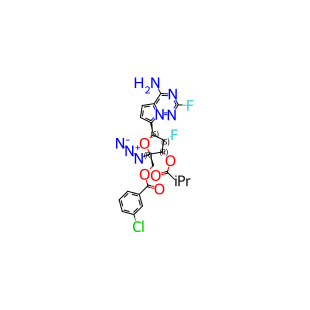 CC(C)C(=O)O[C@H]1[C@@H](F)[C@H](c2ccc3c(N)nc(F)nn23)O[C@@]1(COC(=O)c1cccc(Cl)c1)N=[N+]=[N-]